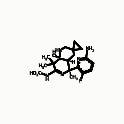 CC1(C)C(NC(=O)O)=N[C@](C)(c2nc(N)ccc2F)[C@@H]2CC3(CC3)CNS21O